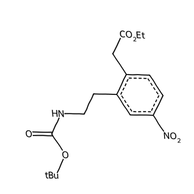 CCOC(=O)Cc1ccc([N+](=O)[O-])cc1CCNC(=O)OC(C)(C)C